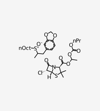 CCCCCCCC[S+]([O-])C(C)Cc1ccc2c(c1)OCO2.CCCOC(=O)OC(C)OC(=O)[C@@H]1N2C(=O)[C@@H](Cl)[C@H]2SC1(C)C